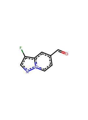 O=Cc1ccn2ncc(F)c2c1